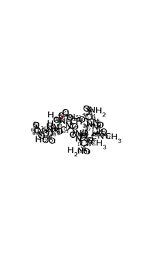 CCc1nc(C)oc1C(=O)Nc1nc2cc(C(N)=O)cc(OC)c2n1C/C=C/Cn1c(NC(=O)c2oc(C)nc2CC)nc2cc(C(N)=O)cc(OCCCOC(=O)[C@H](C)NC(=O)CNC(=O)[C@@H](CCC(=O)O)NC(=O)CN3C(=O)C=CC3=O)c21